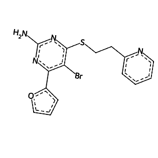 Nc1nc(SCCc2ccccn2)c(Br)c(-c2ccco2)n1